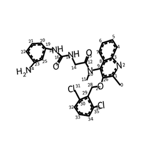 Cc1nc2ccccc2c(N(C)C(=O)CNC(=O)Nc2cccc(N)c2)c1OCc1c(Cl)cccc1Cl